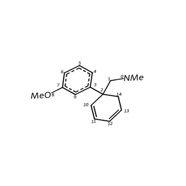 CNCC1(c2cccc(OC)c2)C=CC=CC1